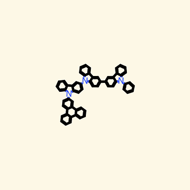 c1ccc(-n2c3ccccc3c3cc(-c4ccc5c(c4)c4ccccc4n5-c4ccc5c(c4)c4ccccc4n5-c4ccc5c6ccccc6c6ccccc6c5c4)ccc32)cc1